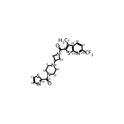 Cc1c(C(=O)N2CC(N3CCN(C(=O)c4nccs4)CC3)C2)sc2nc(C(F)(F)F)ccc12